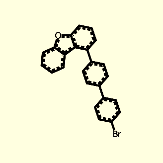 Brc1ccc(-c2ccc(-c3cccc4oc5ccccc5c34)cc2)cc1